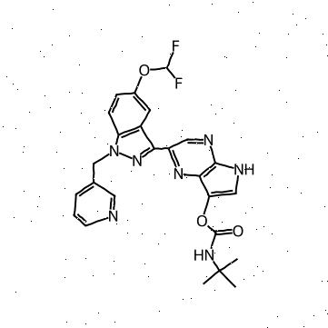 CC(C)(C)NC(=O)Oc1c[nH]c2ncc(-c3nn(Cc4cccnc4)c4ccc(OC(F)F)cc34)nc12